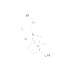 CC(C)(C)OC(=O)N1C[C@H]2C(O)CC[C@H]21